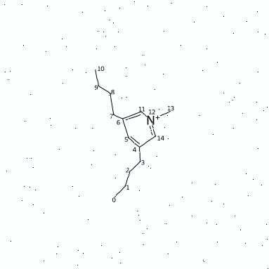 CCCCc1cc(CCCC)c[n+](C)c1